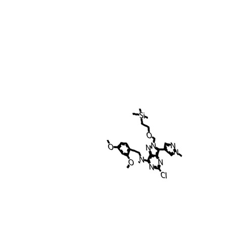 COc1ccc(CN(C)c2nc(Cl)nc3c(-c4cnn(C)c4)n(COCC[Si](C)(C)C)nc23)c(OC)c1